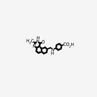 Cc1nc2ccc3ccc(CNc4ccc(C(=O)O)cc4)cc3c2c(=O)[nH]1